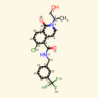 C[C@H](CO)n1ccc2c(C(=O)NCc3cccc(C(F)(F)F)c3)c(Cl)ccc2c1=O